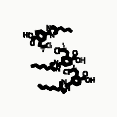 CCCCCCc1cnc(-c2ccc(C(=O)O)c(C[C@@H](C)Cl)c2)nc1.CCCCCc1cnc(-c2ccc(C(=O)O)c(C[C@@H](C)Cl)c2)nc1.CCCCc1cnc(-c2ccc(C(=O)O)c(C[C@@H](C)Cl)c2)nc1